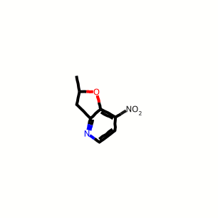 CC1Cc2nccc([N+](=O)[O-])c2O1